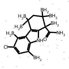 Bc1cc(Cl)c(B)c2c3c([nH]c12)C(B)(C(N)=O)C(B)(B)CC3(B)B